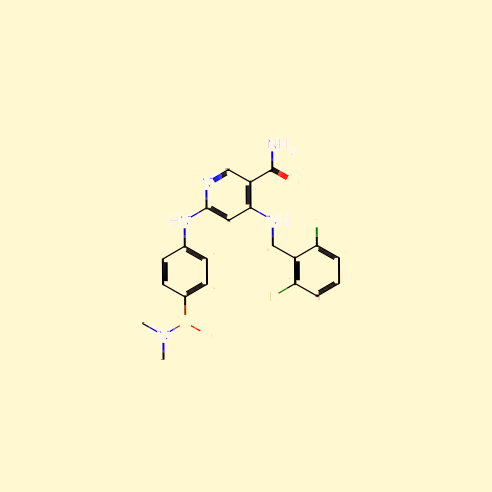 CN(C)[S+]([O-])c1ccc(Nc2cc(NCc3c(F)cccc3F)c(C(N)=O)cn2)cc1